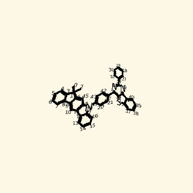 CC1(C)c2ccccc2-c2cc3c4ccccc4n(-c4ccc(-c5nc(-c6ccccc6)nc6c5sc5ccccc56)cc4)c3cc21